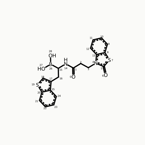 O=C(CCn1c(=O)sc2ccccc21)NC(Cc1csc2ccccc12)B(O)O